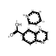 O=C(O)c1ccc2nccnc2c1.c1ccncc1